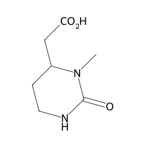 CN1C(=O)NCCC1CC(=O)O